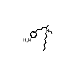 CCCCCCCN(CC)C(C)CCCc1ccc(N)cc1